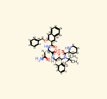 CC(C)(C)N(C[C@@H](O)[C@H](Cc1ccccc1)NC(=O)[C@H](CC(N)=O)NC(=O)c1cc2ccccc2cc1OCc1ccccc1)C(=O)[C@@H]1CCCCN1